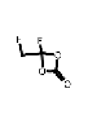 O=C1OC(F)(CF)O1